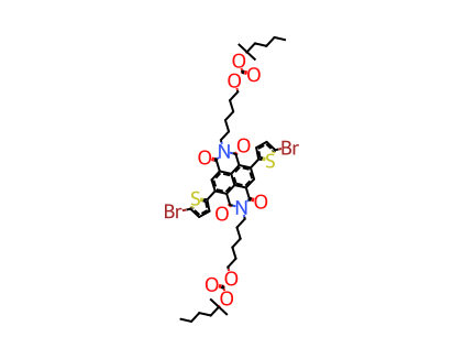 CCCCC(C)(C)OC(=O)OCCCCCCN1C(=O)c2cc(-c3ccc(Br)s3)c3c4c(cc(-c5ccc(Br)s5)c(c24)C1=O)C(=O)N(CCCCCCOC(=O)OC(C)(C)CCCC)C3=O